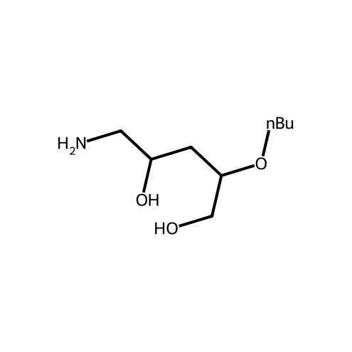 CCCCOC(CO)CC(O)CN